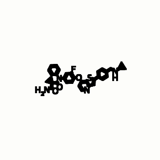 NC(=O)C1(C(=O)N(c2ccccc2)c2ccc(Oc3ccnc4cc(-c5ccc(CNC6CC6)cc5)sc34)c(F)c2)CC1